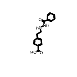 O=C(O)c1ccc(CCNNC(=O)c2ccccc2)cc1